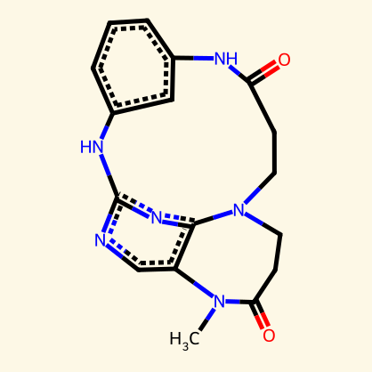 CN1C(=O)CCN2CCC(=O)Nc3cccc(c3)Nc3ncc1c2n3